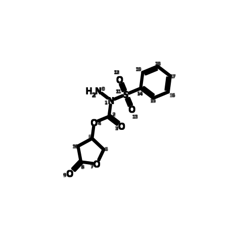 NN(C(=O)OC1COC(=O)C1)S(=O)(=O)c1ccccc1